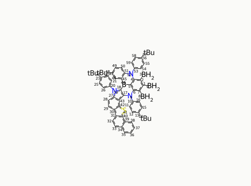 Bc1c(B)c2c3c(c1B)N(c1ccc(C(C)(C)C)cc1)c1c(n(-c4ccc(C(C)(C)C)cc4)c4ccc5c6ccc7ccccc7c6sc5c14)B3c1cc(C(C)(C)C)ccc1N2c1ccc(C(C)(C)C)cc1